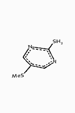 CSc1cnc([SiH3])nc1